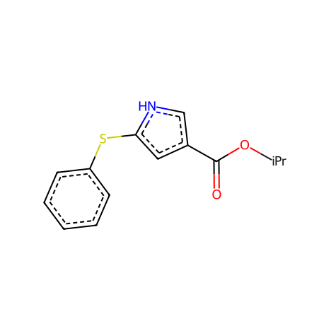 CC(C)OC(=O)c1c[nH]c(Sc2ccccc2)c1